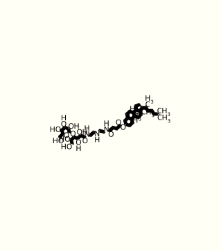 CC(C)CCC[C@H](C)[C@@H]1CC[C@@H]2[C@H]3CC=C4CC(OC(=O)CCC(=O)NCCNCCNC(=O)C(O)C(O)C(O[C@@H]5OC(CO)[C@H](O)C(O)C5O)C(O)CO)CC[C@@]4(C)[C@@H]3CC[C@]21C